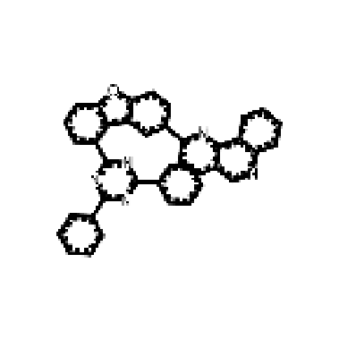 c1ccc(-c2nc(-c3ccccc3)nc(-c3cccc4oc5ccc(-c6ccc7cnc8ccccc8c7n6)cc5c34)n2)cc1